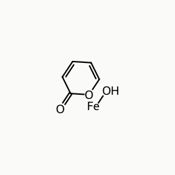 O=c1cccco1.[OH][Fe]